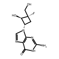 Nc1nc2c(ncn2[C@H]2C[C@](F)(CO)[C@@H]2O)c(=O)[nH]1